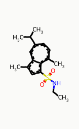 CCNS(=O)(=O)c1cc(C)c2cc(C(C)C)ccc(C)c1-2